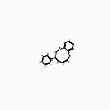 C1=C\Cc2ccccc2SC\C(c2ccccc2)=C/1